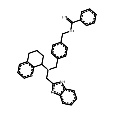 N=C(NCc1ccc(CN(Cc2nc3ccccc3[nH]2)C2CCCc3cccnc32)cc1)c1ccccc1